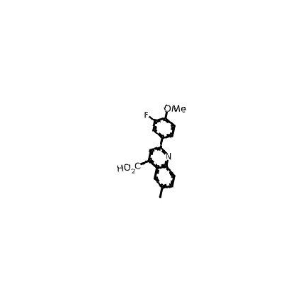 COc1ccc(-c2cc(C(=O)O)c3cc(C)ccc3n2)cc1F